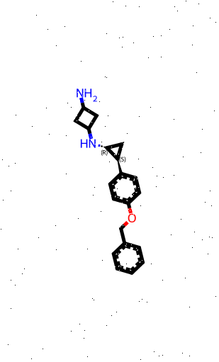 NC1CC(N[C@@H]2C[C@H]2c2ccc(OCc3ccccc3)cc2)C1